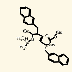 C[SiH](C)OC(C(C=C[C@@H](Cc1ccc2ccccc2c1)NC(=O)OC(C)(C)C)Cc1ccc2ccccc2c1)C(C)(C)C